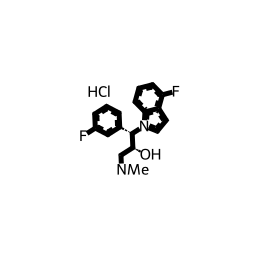 CNC[C@@H](O)[C@H](c1cccc(F)c1)n1ccc2c(F)cccc21.Cl